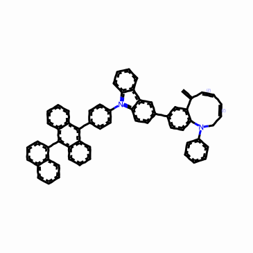 C=C1/C=C\C=C/CN(c2ccccc2)c2ccc(-c3ccc4c(c3)c3ccccc3n4-c3ccc(-c4c5ccccc5c(-c5cccc6ccccc56)c5ccccc45)cc3)cc21